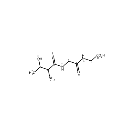 CC(O)C(N)C(=O)NCC(=O)NCC(=O)O